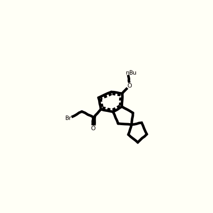 CCCCOc1ccc(C(=O)CBr)c2c1CC1(CCCC1)C2